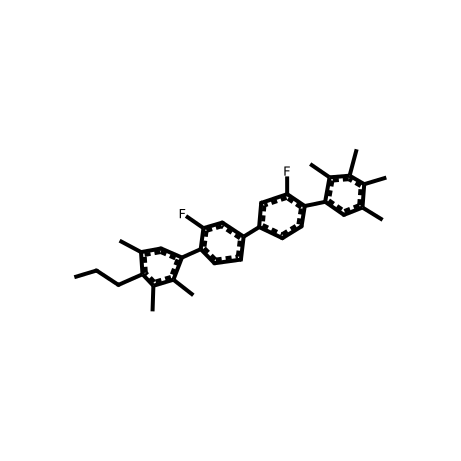 CCCc1c(C)cc(-c2ccc(-c3ccc(-c4cc(C)c(C)c(C)c4C)c(F)c3)cc2F)c(C)c1C